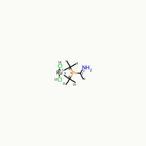 CC(N)P(C(C)(C)C)C(C)(C)C.[Cl][Ru][Cl]